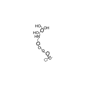 [O-][S+](c1cccc(COCCOc2ccc(CCNC[C@H](O)c3ccc(O)c(CO)c3)cc2)c1)C1CCCC1